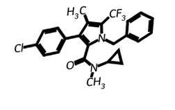 Cc1c(-c2ccc(Cl)cc2)c(C(=O)N(C)C2CC2)n(Cc2ccccc2)c1C(F)(F)F